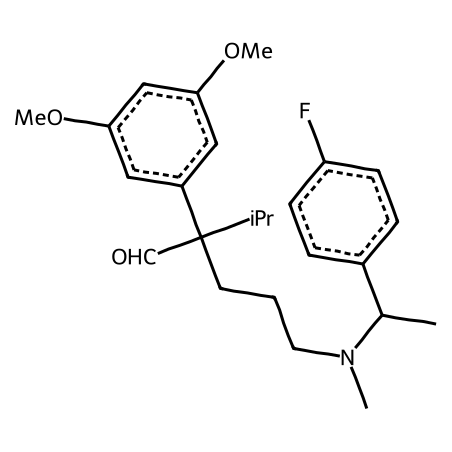 COc1cc(OC)cc(C(C=O)(CCCN(C)C(C)c2ccc(F)cc2)C(C)C)c1